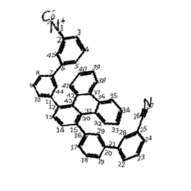 [C-]#[N+]c1cccc(-c2cccc(-c3ccc(-c4cccc(-c5cccc(C#N)c5)c4)c4c5ccccc5c5ccccc5c34)c2)c1